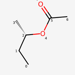 CC[C@H](C)OC(C)=O